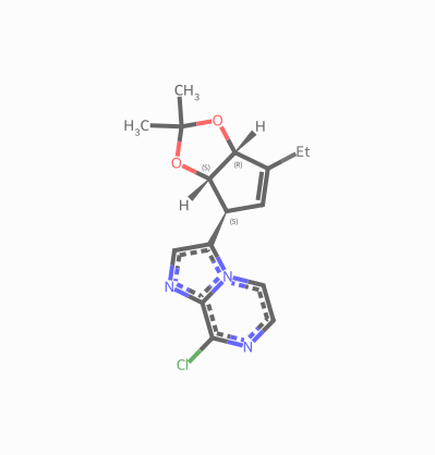 CCC1=C[C@@H](c2cnc3c(Cl)nccn23)[C@@H]2OC(C)(C)O[C@H]12